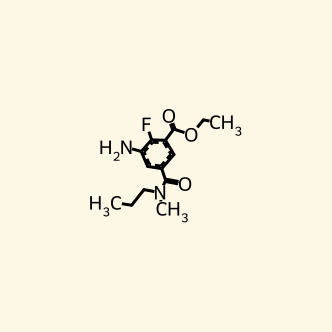 CCCN(C)C(=O)c1cc(N)c(F)c(C(=O)OCC)c1